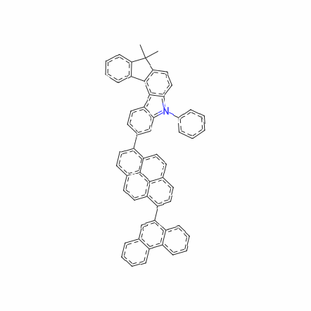 CC1(C)c2ccccc2-c2c1ccc1c2c2ccc(-c3ccc4ccc5c(-c6cc7ccccc7c7ccccc67)ccc6ccc3c4c65)cc2n1-c1ccccc1